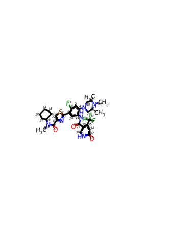 C[C@@H]1CN(c2cc(F)c(-c3nc(C(=O)N(C)C4CCCCC4)cs3)cc2NC(=O)c2c[nH]c(=O)cc2C(F)(F)F)C[C@H](C)N1C